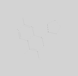 CC1=C(Br)CN(C2CCCC2)c2nc(Cl)ncc21